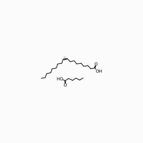 CCCCCC(=O)O.CCCCCCCC/C=C\CCCCCCCC(=O)O